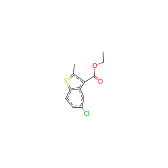 CCOC(=O)c1c(C)sc2ccc(Cl)cc12